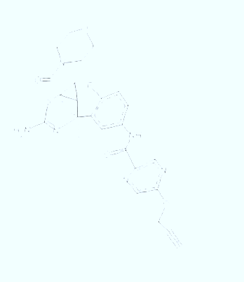 C#CCOc1cnc(C(=O)Nc2ccc(F)c([C@@]3(C)N=C(N)S[C@@]4(C(=O)N5CCOCC5)CC43)c2)cn1